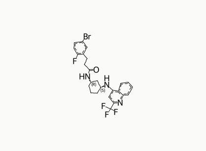 O=C(CCc1cc(Br)ccc1F)N[C@@H]1CCC[C@H](Nc2cc(C(F)(F)F)nc3ccccc23)C1